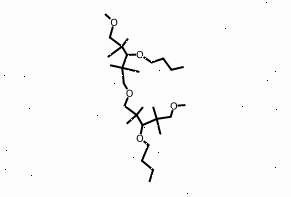 CCCCOC(C(C)(C)COC)C(C)(C)COCC(C)(C)C(OCCCC)C(C)(C)COC